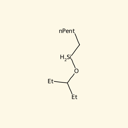 CCCCCC[SiH2]OC(CC)CC